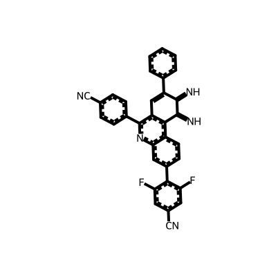 N#Cc1ccc(-c2nc3cc(-c4c(F)cc(C#N)cc4F)ccc3c3c2C=C(c2ccccc2)C(=N)C3=N)cc1